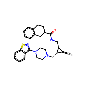 C=C1[C@H](CNC(=O)C2CCc3ccccc3C2)[C@H]1CN1CCN(c2nsc3ccccc23)CC1